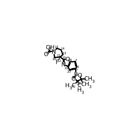 CC1(C)OB(c2ccc3oc([C@@]4(F)CCCN(C(=O)O)C4)nc3c2)OC1(C)C